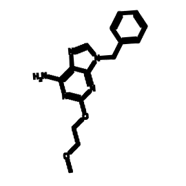 COCCOc1nc(N)c2ncn(Cc3ccccc3)c2n1